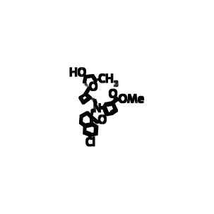 COC(=O)c1ccc2c(c1)N(C[C@@H]1CC[C@H]1[C@@H]1C[C@H](O)C[C@H](C)O1)C[C@@]1(CCCc3cc(Cl)ccc31)CO2